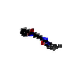 O=C(O)CN(CC(=O)O)CC(=O)NCCCCCCNC(=O)OCc1ccccc1